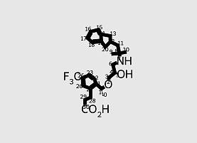 C[C@@H](OC[C@@H](O)CNC(C)(C)CC1Cc2ccccc2C1)c1ccc(C(F)(F)F)cc1CCC(=O)O